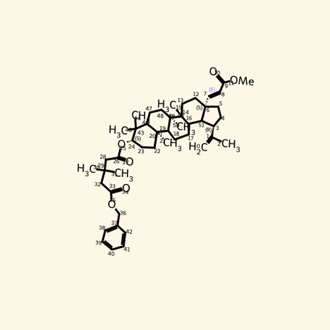 C=C(C)[C@@H]1CC[C@]2(/C=C/C(=O)OC)CC[C@]3(C)C(CCC4[C@@]5(C)CC[C@H](OC(=O)CC(C)(C)CC(=O)OCc6ccccc6)C(C)(C)C5CC[C@]43C)C12